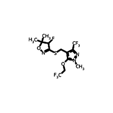 Cn1nc(C(F)(F)F)c(CSC2=NOC(C)(C)C2F)c1OCC(F)(F)F